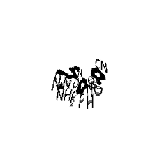 N#Cc1ccc(CS(=O)(=O)Nc2ccc(Oc3ncccc3-c3ccnc(N)n3)c(F)c2F)cc1